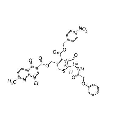 CCn1cc(C(=O)OCC2=C(C(=O)OCc3ccc([N+](=O)[O-])cc3)N3C(=O)[C@@H](NC(=O)COc4ccccc4)[C@H]3SC2)c(=O)c2ccc(C)nc21